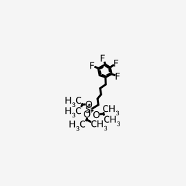 CC(C)O[Si](CCCCCc1cc(F)c(F)c(F)c1F)(OC(C)C)OC(C)C